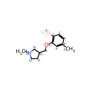 Bc1ccc(C)cc1OCC1CCN(C)C1